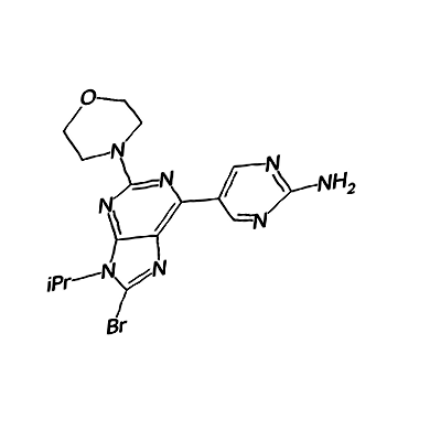 CC(C)n1c(Br)nc2c(-c3cnc(N)nc3)nc(N3CCOCC3)nc21